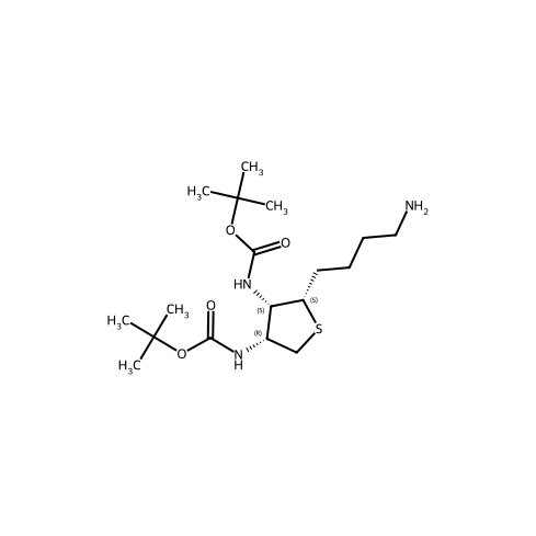 CC(C)(C)OC(=O)N[C@H]1[C@@H](NC(=O)OC(C)(C)C)CS[C@H]1CCCCN